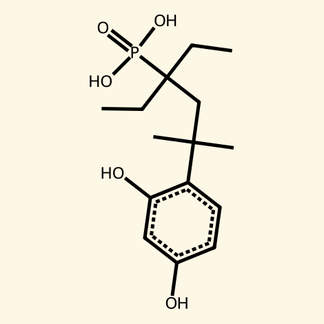 CCC(CC)(CC(C)(C)c1ccc(O)cc1O)P(=O)(O)O